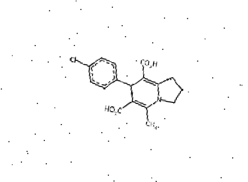 CC1=C(C(=O)O)C(c2ccc(Cl)cc2)C(C(=O)O)=C2CCCN12